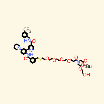 CC(C)(C)OC(=O)CN(CCOCCO)C(=O)CCOCCOCCOCCOCCSCc1cccc(C(=O)Nc2ccc(N3CCCCC3)cc2-c2cc(C(=O)NCc3cccc(C(F)(F)F)c3)ccn2)c1